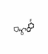 O=C(Cn1ccc2ccc(F)cc21)N1CCCC1